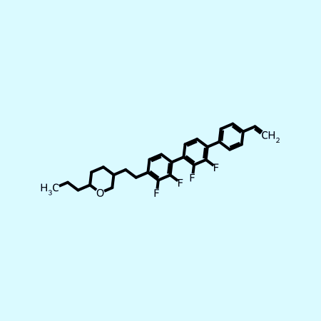 C=Cc1ccc(-c2ccc(-c3ccc(CCC4CCC(CCC)OC4)c(F)c3F)c(F)c2F)cc1